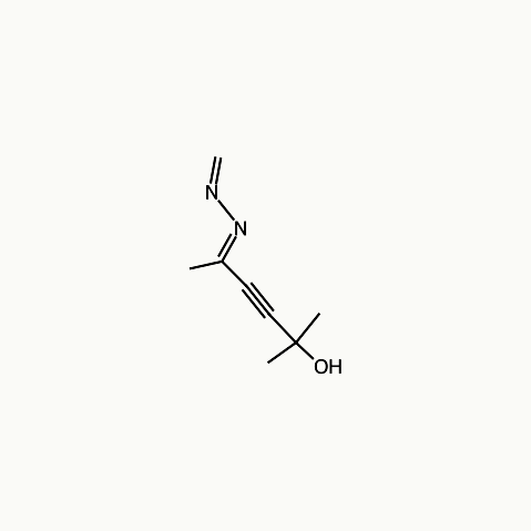 C=N/N=C(\C)C#CC(C)(C)O